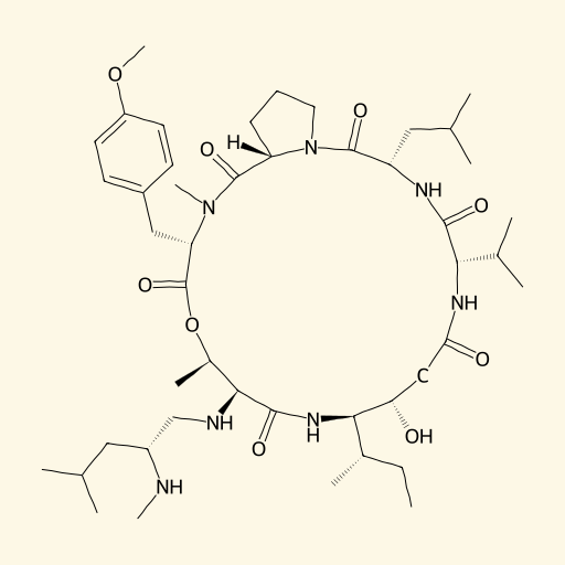 CC[C@H](C)[C@H]1NC(=O)[C@@H](NC[C@@H](CC(C)C)NC)[C@@H](C)OC(=O)[C@H](Cc2ccc(OC)cc2)N(C)C(=O)[C@@H]2CCCN2C(=O)[C@H](CC(C)C)NC(=O)[C@H](C(C)C)NC(=O)C[C@@H]1O